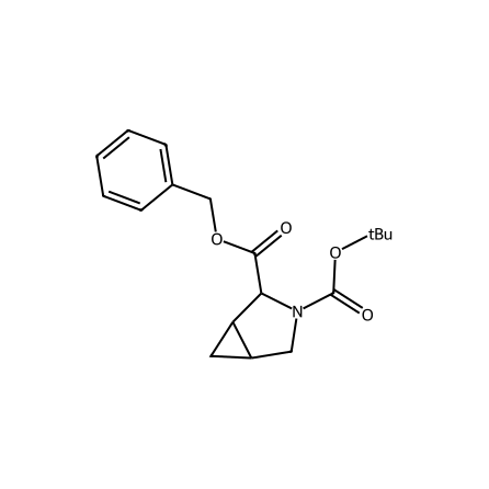 CC(C)(C)OC(=O)N1CC2CC2C1C(=O)OCc1ccccc1